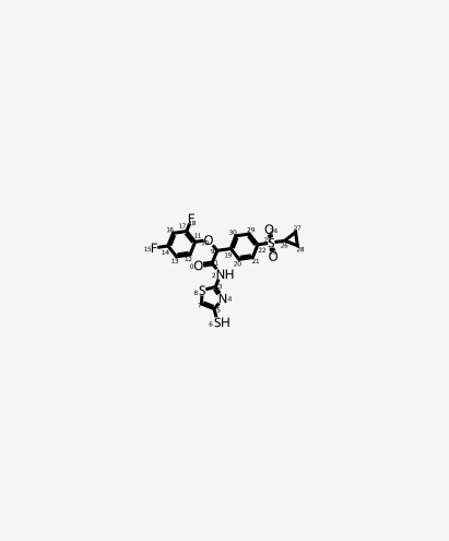 O=C(Nc1nc(S)cs1)C(Oc1ccc(F)cc1F)c1ccc(S(=O)(=O)C2CC2)cc1